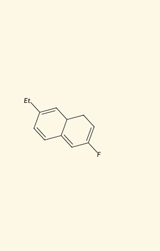 CCC1=CC2CC=C(F)C=C2C=C1